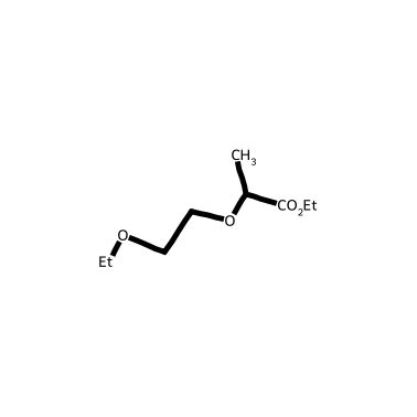 CCOCCOC(C)C(=O)OCC